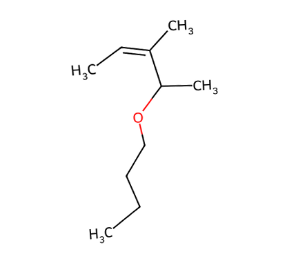 CC=C(C)C(C)OCCCC